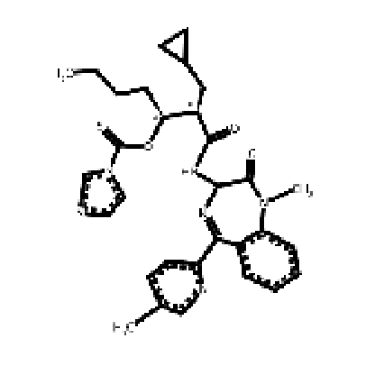 CCCC[C@H](OC(=S)n1ccnc1)[C@@H](CC1CC1)C(=O)NC1N=C(c2ccc(C)cn2)c2ccccc2N(C)C1=O